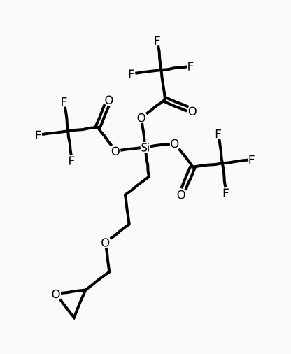 O=C(O[Si](CCCOCC1CO1)(OC(=O)C(F)(F)F)OC(=O)C(F)(F)F)C(F)(F)F